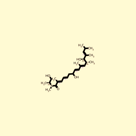 CC(/C=C/C(O)C/C=C/C=C(\C)C(=O)N(C)[C@@H](C)CO)=C\[C@@H](C)[C@@H](O)/C(C)=C/C(C)C